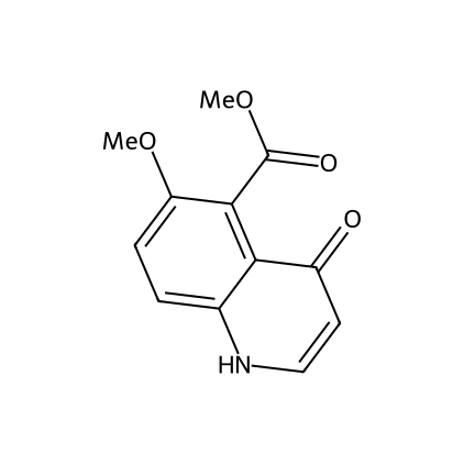 COC(=O)c1c(OC)ccc2[nH]ccc(=O)c12